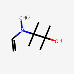 C=CN(C=O)C(C)(C)C(C)(C)O